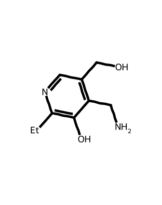 CCc1ncc(CO)c(CN)c1O